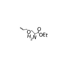 C=CCOC[C@H](N)C(=O)OCC